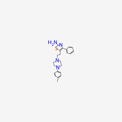 Cc1ccc(N2CCN(CCc3sc(N)nc3-c3ccccc3)CC2)cc1